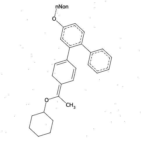 CCCCCCCCCOc1ccc(-c2ccccc2)c(C2=CC/C(=C(/C)OC3CCCCC3)C=C2)c1